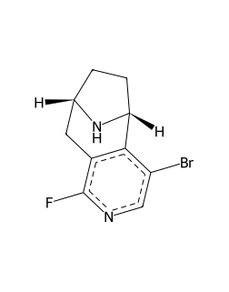 Fc1ncc(Br)c2c1C[C@@H]1CC[C@H]2N1